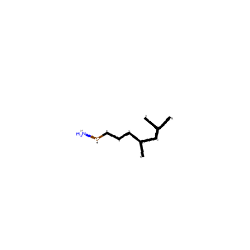 CC(C)CC(C)CCCSN